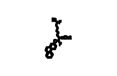 CCCCCCCCC(CCCCCC(F)CC)C(F)Oc1ccc2c(ccc3ccccc32)c1